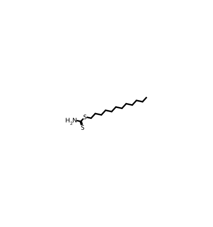 CCCCCCCCCCCCSC(N)=S